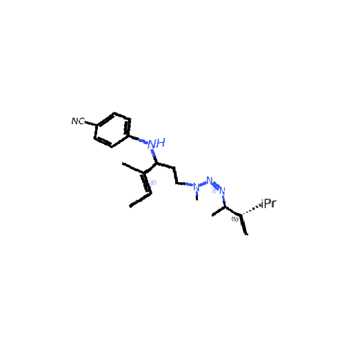 C/C=C(\C)C(CCN(C)/N=N\C(C)[C@@H](C)C(C)C)Nc1ccc(C#N)cc1